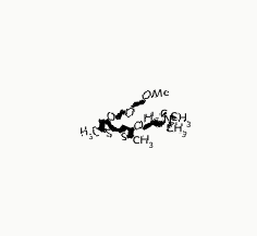 COCCOCCOc1cc(C)sc1-c1cc(OCCC[N+](C)(C)C)c(C)s1